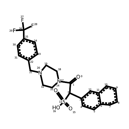 O=C(C(c1ccc2ccccc2c1)S(=O)(=O)O)N1CCN(Cc2ccc(C(F)(F)F)cc2)CC1